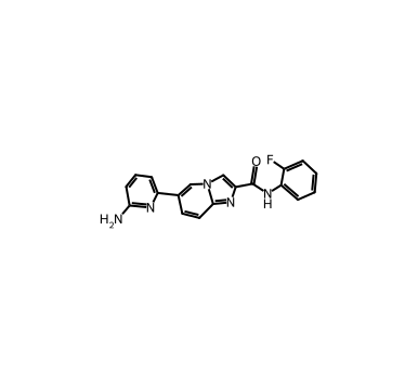 Nc1cccc(-c2ccc3nc(C(=O)Nc4ccccc4F)cn3c2)n1